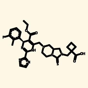 CCOC(=O)C1=C(CN2CCN3C(=S)N(CC4(C(=O)O)CCC4)CC3C2)NC(c2nccs2)=N[C@H]1c1cccc(F)c1C